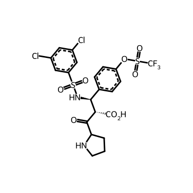 O=C(O)[C@H](C(=O)C1CCCN1)[C@@H](NS(=O)(=O)c1cc(Cl)cc(Cl)c1)c1ccc(OS(=O)(=O)C(F)(F)F)cc1